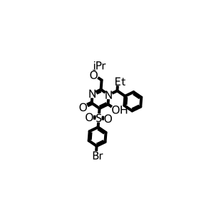 CCC(c1ccccc1)n1c(COC(C)C)nc(=O)c(S(=O)(=O)c2ccc(Br)cc2)c1O